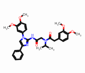 COc1ccc(CC(=O)N(CC(=O)Nc2nc(-c3ccccc3)cn2-c2ccc(OC)c(OC)c2)C(C)C)cc1OC